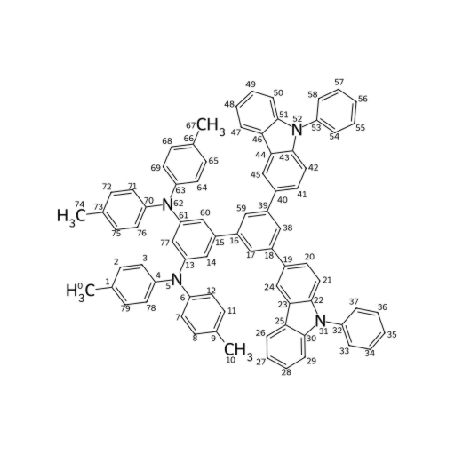 Cc1ccc(N(c2ccc(C)cc2)c2cc(-c3cc(-c4ccc5c(c4)c4ccccc4n5-c4ccccc4)cc(-c4ccc5c(c4)c4ccccc4n5-c4ccccc4)c3)cc(N(c3ccc(C)cc3)c3ccc(C)cc3)c2)cc1